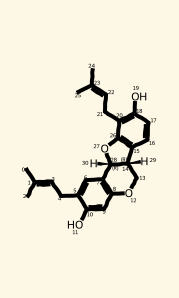 CC(C)=CCc1cc2c(cc1O)OC[C@H]1c3ccc(O)c(CC=C(C)C)c3O[C@@H]21